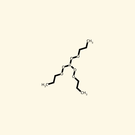 CCCO[O][V]([O]OCCC)[O]OCCC